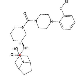 CCOc1ccccc1N1CCN(C(=O)N2CCC[C@H](NC(=O)N3C4CCC3CC(O)C4)C2)CC1